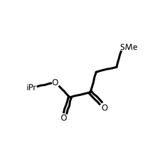 CSCCC(=O)C(=O)OC(C)C